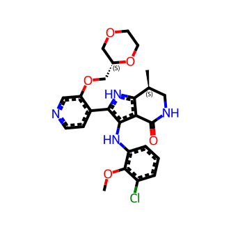 COc1c(Cl)cccc1Nc1c(-c2ccncc2OC[C@@H]2COCCO2)[nH]c2c1C(=O)NC[C@@H]2C